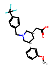 COc1cccc([C@H]2C[C@H](CC(=O)O)CN(Cc3ccc(C(F)(F)F)cc3)C2)c1